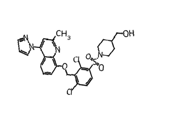 Cc1cc(-n2cccn2)c2cccc(OCc3c(Cl)ccc(S(=O)(=O)N4CCC(CO)CC4)c3Cl)c2n1